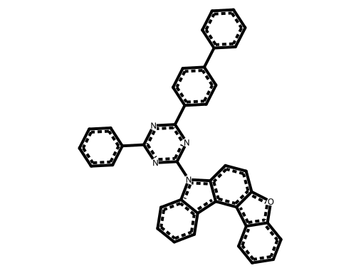 c1ccc(-c2ccc(-c3nc(-c4ccccc4)nc(-n4c5ccccc5c5c6c(ccc54)oc4ccccc46)n3)cc2)cc1